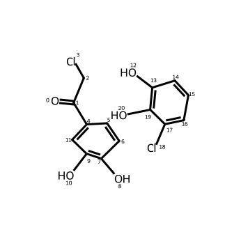 O=C(CCl)c1ccc(O)c(O)c1.Oc1cccc(Cl)c1O